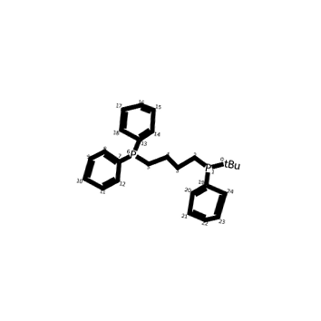 CC(C)(C)P(CCCCP(c1ccccc1)c1ccccc1)c1ccccc1